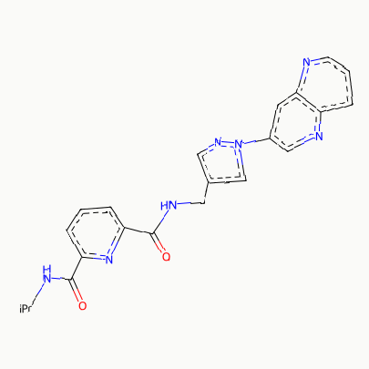 CC(C)NC(=O)c1cccc(C(=O)NCc2cnn(-c3cnc4cccnc4c3)c2)n1